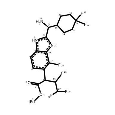 CC(C)(C)OC(=O)C(c1ccc2[nH]c([C@@H](N)C3CCC(F)(F)CC3)nc2c1F)C(F)C(F)F